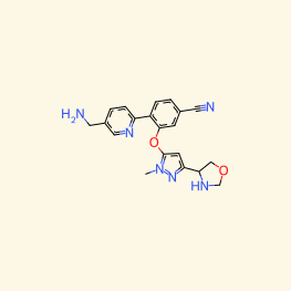 Cn1nc(C2COCN2)cc1Oc1cc(C#N)ccc1-c1ccc(CN)cn1